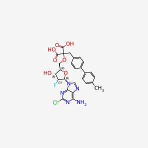 Cc1ccc(-c2ccc(CC(OC[C@H]3O[C@@H](n4cnc5c(N)nc(Cl)nc54)[C@@H](F)[C@@H]3O)(C(=O)O)C(=O)O)cc2)cc1